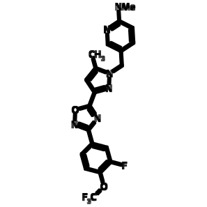 CNc1ccc(Cn2nc(-c3nc(-c4ccc(OC(F)(F)F)c(F)c4)no3)cc2C)cn1